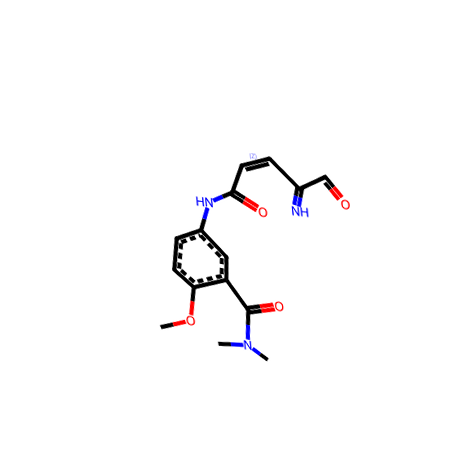 COc1ccc(NC(=O)/C=C\C(=N)C=O)cc1C(=O)N(C)C